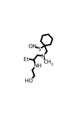 CCC(CN(C)CC1(SN=O)CCCCC1)NCCO